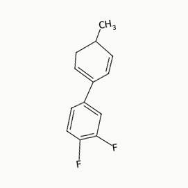 CC1C=CC(c2ccc(F)c(F)c2)=CC1